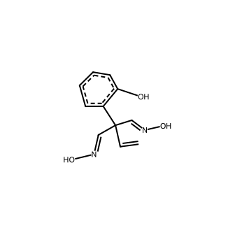 C=CC(C=NO)(C=NO)c1ccccc1O